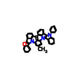 Cc1cc2c3c(c1)-n1c4c(cccc4c4c1c1ccccc1n4-c1ccccc1)B3c1cccc3c4oc5ccccc5c4n-2c13